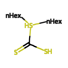 CCCCCC[SH](CCCCCC)C(=S)S